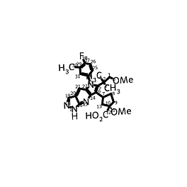 COCC(C)(C)c1c(C2CC[C@@](OC)(C(=O)O)C2)c2nc3[nH]ncc3cc2n1-c1ccc(F)c(C)c1